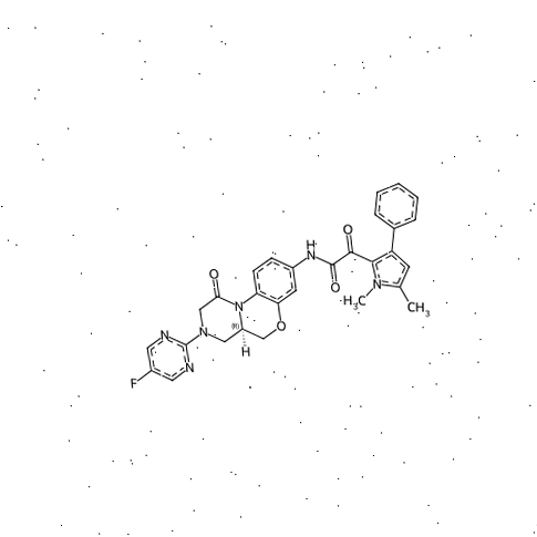 Cc1cc(-c2ccccc2)c(C(=O)C(=O)Nc2ccc3c(c2)OC[C@H]2CN(c4ncc(F)cn4)CC(=O)N32)n1C